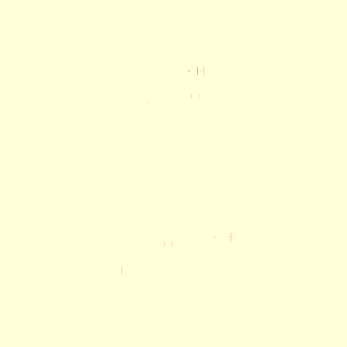 CCOc1cc2cc(C(=O)OC)sc2cc1O